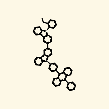 CCc1ccccc1-n1c2ccccc2c2cc(-c3ccc4c(c3)c3ccccc3n4-c3ccc(-c4c5ccccc5c(-c5ccccc5)c5ccccc45)cc3)ccc21